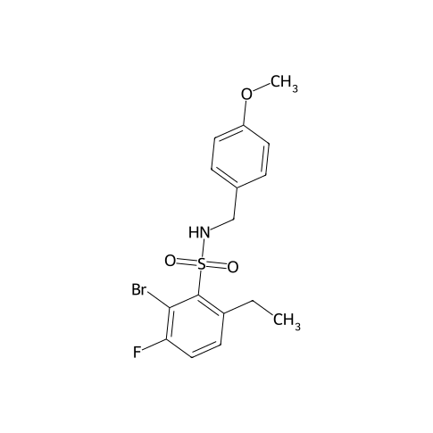 CCc1ccc(F)c(Br)c1S(=O)(=O)NCc1ccc(OC)cc1